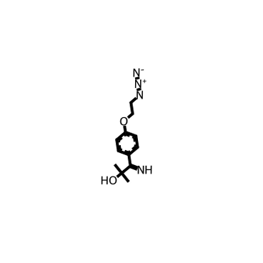 CC(C)(O)C(=N)c1ccc(OCCN=[N+]=[N-])cc1